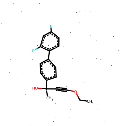 CCOC#CC(C)(O)c1ccc(-c2ccc(F)cc2F)cc1